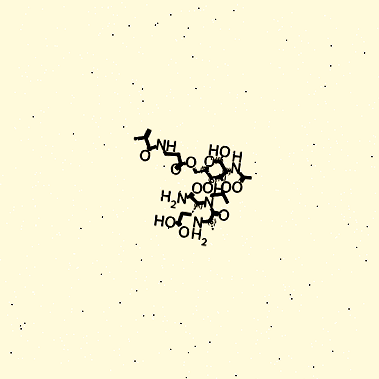 C=C(C)C(=O)NCCC(=O)OC[C@H]1O[C@H](O)[C@H](NC(C)=O)[C@@H](OC(C)CN(C(=O)[C@H](C)N)[C@H](CCC(=O)O)C(N)=O)[C@@H]1O